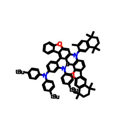 Cc1cc2c(cc1N1c3cc4oc5ccccc5c4c4c3B(c3c1ccc1c3oc3cc5c(cc31)C(C)(C)CCC5(C)C)N(c1ccc(C(C)(C)C)cc1)c1cc(N(c3ccc(C(C)(C)C)cc3)c3ccc(C(C)(C)C)cc3)ccc1-4)C(C)(C)CCC2(C)C